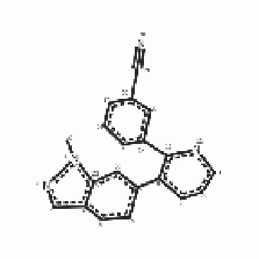 Cn1ncc2ccc(-c3cccnc3-c3cccc(C#N)c3)cc21